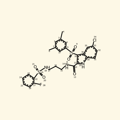 Cc1cc(C)cc(S(=O)(=O)c2c(C(=O)NCCCNS(=O)(=O)c3ccccc3F)[nH]c3ccc(Cl)cc23)c1